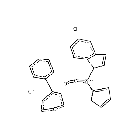 O=[C]=[Zr+2]([C]1=CC=CC1)[CH]1C=Cc2ccccc21.[Cl-].[Cl-].c1ccc(-c2ccccc2)cc1